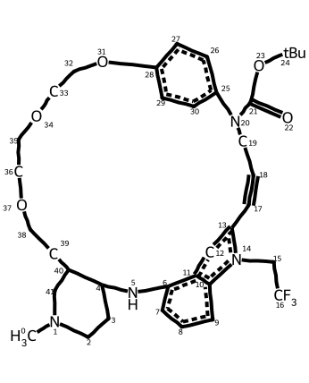 CN1CCC2Nc3cccc4c3cc(n4CC(F)(F)F)C#CCN(C(=O)OC(C)(C)C)c3ccc(cc3)OCCOCCOCCC2C1